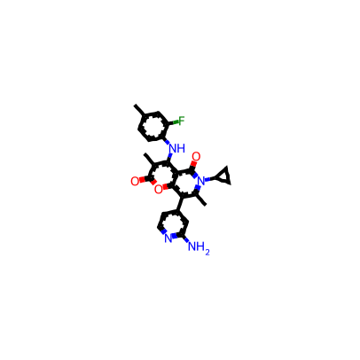 Cc1ccc(Nc2c(C)c(=O)oc3c(-c4ccnc(N)c4)c(C)n(C4CC4)c(=O)c23)c(F)c1